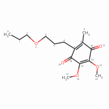 CCCOCCCC1=C(C)C(=O)C(OC)=C(OC)C1=O